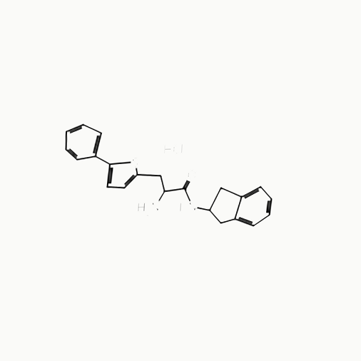 Cl.NC(Cc1ccc(-c2ccccc2)s1)C(=O)NC1Cc2ccccc2C1